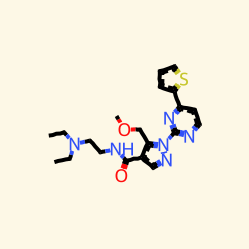 CCN(CC)CCNC(=O)c1cnn(-c2nccc(-c3cccs3)n2)c1COC